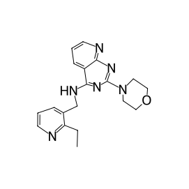 CCc1ncccc1CNc1nc(N2CCOCC2)nc2ncccc12